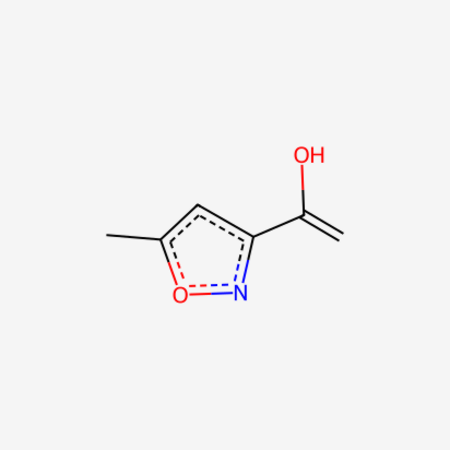 C=C(O)c1cc(C)on1